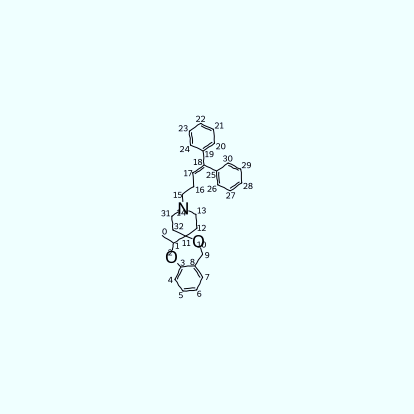 CC1Oc2ccccc2COC12CCN(CCC=C(c1ccccc1)c1ccccc1)CC2